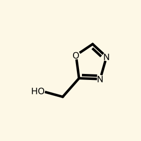 OCc1nnco1